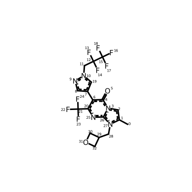 Cc1cn2c(=O)c(-c3cnn(CC(F)(F)C(F)(F)F)c3)c(C(F)(F)F)nc2n1CC1COC1